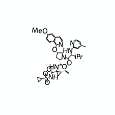 C=C[C@@H]1C[C@]1(NC(=O)[C@@H]1C[C@@H](Oc2nccc3cc(OC)ccc23)CN1C(=O)[C@@H](Nc1cc(C)ccn1)C(C)C)C(=O)NS(=O)(=O)C1CC1